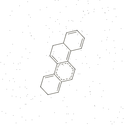 C1=CC2=c3ccc4c(c3=CCC2C=C1)=CCCC=4